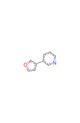 c1cncc(-c2ccoc2)c1